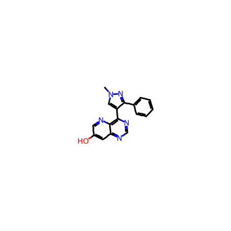 Cn1cc(-c2ncnc3cc(O)cnc23)c(-c2ccccc2)n1